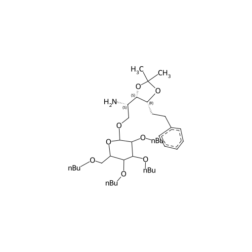 CCCCOCC1OC(OC[C@H](N)[C@@H]2OC(C)(C)O[C@@H]2CCc2ccccc2)C(OCCCC)C(OCCCC)C1OCCCC